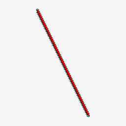 S=S=S=S=S=S=S=S=S=S=S=S=S=S=S=S=S=S=S=S=S=S=S=S=S=S=S=S=S=S=S=S=S=S=S=S=S=S=S=S=S=S=S=S=S=S=S=S=S=S=S=S=S=S=S=S=S=S=S=S=S=S=S=S=S=S=S=S=S=S=S=S=S=S=S=S=S=S=S=S=S=S=S=S=S=S=S=S=S=S=S=S=S=S=S=S=S=S=S=S=S=S=S=S=S=S=S=S=S=S=S=S=S=S=S=S=S=S=S=S=S=S